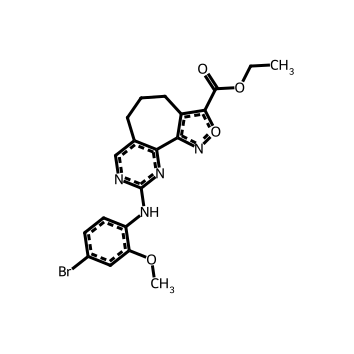 CCOC(=O)c1onc2c1CCCc1cnc(Nc3ccc(Br)cc3OC)nc1-2